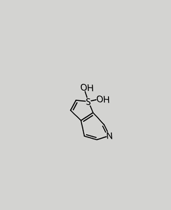 OS1(O)C=Cc2ccncc21